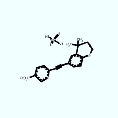 CCOC(=O)c1ccc(C#Cc2ccc3c(c2)C(C)(C)CCS3)nc1.[S]=[Mo](=[S])([SH])[SH]